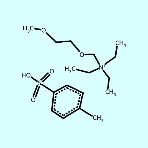 CC[N+](CC)(CC)COCCOC.Cc1ccc(S(=O)(=O)O)cc1